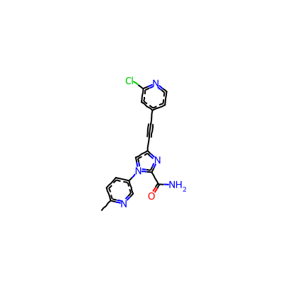 Cc1ccc(-n2cc(C#Cc3ccnc(Cl)c3)nc2C(N)=O)cn1